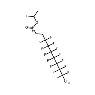 CC(F)O[PH](=O)CCC(F)(F)C(F)(F)C(F)(F)C(F)(F)C(F)(F)C(F)(F)C(F)(F)C(F)(F)F